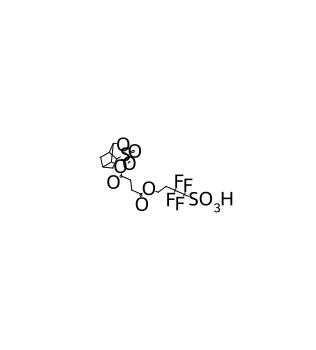 O=C(CCC(=O)OC1C2CC3C1OS(=O)(=O)C3C2)OCCC(F)(F)C(F)(F)S(=O)(=O)O